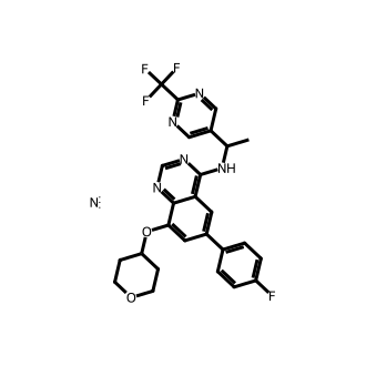 CC(Nc1ncnc2c(OC3CCOCC3)cc(-c3ccc(F)cc3)cc12)c1cnc(C(F)(F)F)nc1.[N]